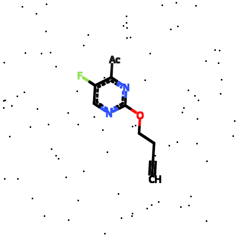 C#CCCOc1ncc(F)c(C(C)=O)n1